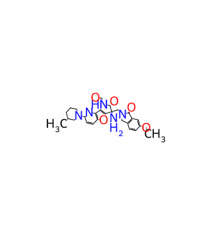 COc1ccc2c(c1)C(=O)N(C[C@@](N)(C(=O)NC=O)c1cc3nc(N4CCCC(C)C4)ccc3o1)C2